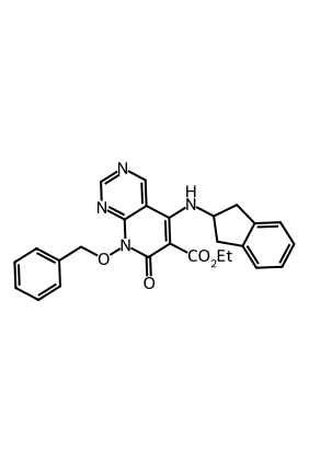 CCOC(=O)c1c(NC2Cc3ccccc3C2)c2cncnc2n(OCc2ccccc2)c1=O